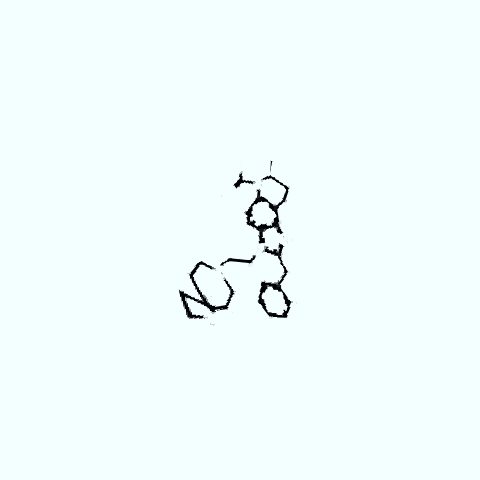 C[C@H]1CCc2c(ccc3c2nc(Cc2ccccc2)n3CCN2CCC3(CCO3)CC2)N1C(=O)O